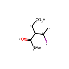 CNC(=O)C(CC(=O)O)C(C)I